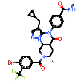 CNC(=O)c1ccc(N2C(=O)C3C[C@H](C)N(C(=O)c4ccc(Br)c(C(F)(F)F)c4)CC3n3ncc(CC4CC4)c32)cc1